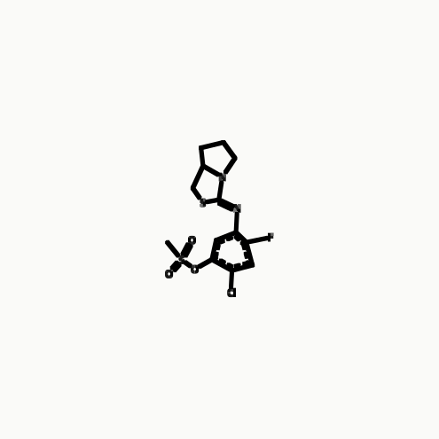 CS(=O)(=O)Oc1cc(N=C2SCC3CCCN23)c(F)cc1Cl